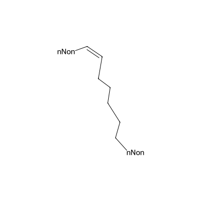 CCCCCCCCC/C=C\CCCCCCCCCCCCCC